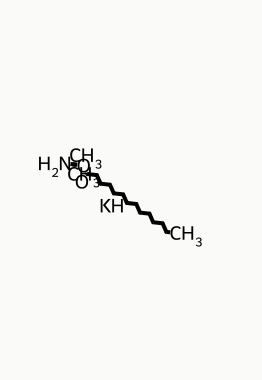 CCCCCCCCCCCCCC(=O)OC(C)(C)N.[KH]